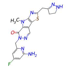 Cn1c2nc(CC3=NNCC3)sc2c2cnn(Cc3cc(F)cc(N)n3)c(=O)c21